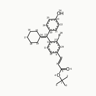 CC(C)(C)OC(=O)/C=C/c1ccc(C(=C2CCCCC2)c2ccc(O)cc2)c(F)c1